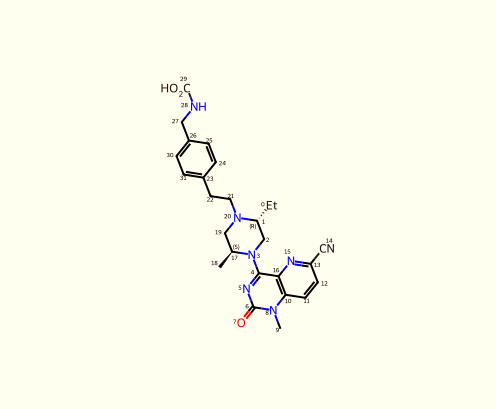 CC[C@@H]1CN(c2nc(=O)n(C)c3ccc(C#N)nc23)[C@@H](C)CN1CCc1ccc(CNC(=O)O)cc1